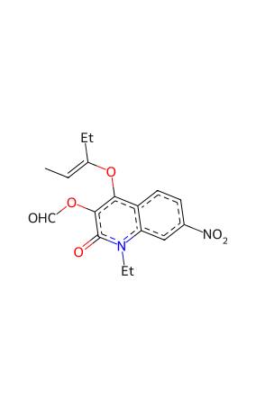 CC=C(CC)Oc1c(OC=O)c(=O)n(CC)c2cc([N+](=O)[O-])ccc12